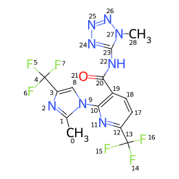 Cc1nc(C(F)(F)F)cn1-c1nc(C(F)(F)F)ccc1C(=O)Nc1nnnn1C